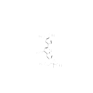 CCCC(O)(I)Oc1ccc2c(O)cc(-c3ccc(O)c(O)c3)nc2c1